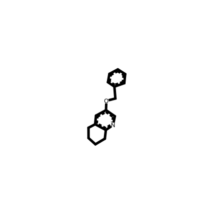 c1ccc(COc2cnc3c(c2)CCCC3)cc1